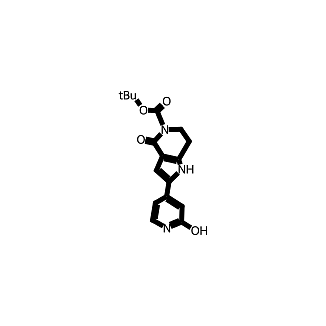 CC(C)(C)OC(=O)N1CCc2[nH]c(-c3ccnc(O)c3)cc2C1=O